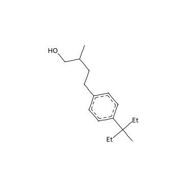 CCC(C)(CC)c1ccc(CCC(C)CO)cc1